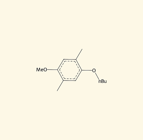 CCCCOc1cc(C)c(OC)cc1C